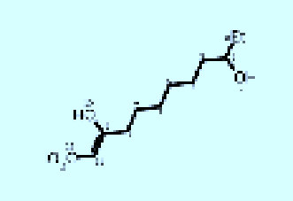 CCC(O)CCCCCCC(O)=CC(=O)O